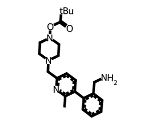 Cc1nc(CN2CCN(OC(=O)C(C)(C)C)CC2)ccc1-c1ccccc1CN